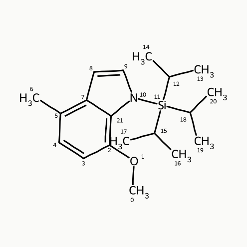 COc1ccc(C)c2ccn([Si](C(C)C)(C(C)C)C(C)C)c12